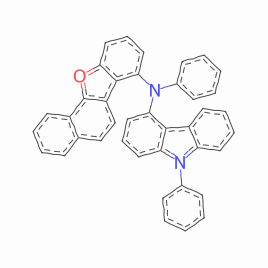 c1ccc(N(c2cccc3oc4c5ccccc5ccc4c23)c2cccc3c2c2ccccc2n3-c2ccccc2)cc1